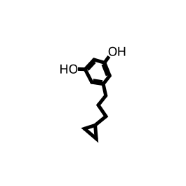 Oc1cc(O)cc(CCCC2CC2)c1